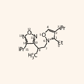 CCc1c(C(C)C)co[n+]1CC(C)c1nonc1C(C)C